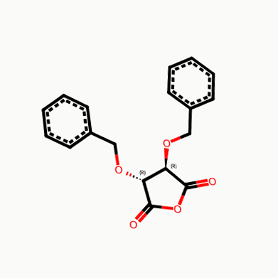 O=C1OC(=O)[C@H](OCc2ccccc2)[C@H]1OCc1ccccc1